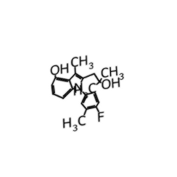 Cc1cc(-n2c(CC(C)(C)O)c(C)c3c(O)cccc32)ccc1F